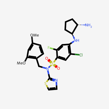 COc1ccc(CN(c2nccs2)S(=O)(=O)c2cc(Cl)c(N[C@H]3CCC[C@@H]3N)cc2F)c(OC)c1